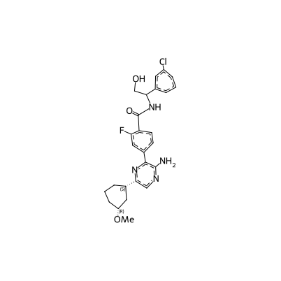 CO[C@@H]1CCC[C@H](c2cnc(N)c(-c3ccc(C(=O)NC(CO)c4cccc(Cl)c4)c(F)c3)n2)C1